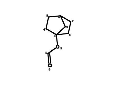 O=[C]OC12CCC(CC1)C2